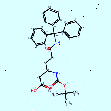 CC(C)(C)OC(=O)NC(CCC(=O)NC(c1ccccc1)(c1ccccc1)c1ccccc1)CC(=O)O